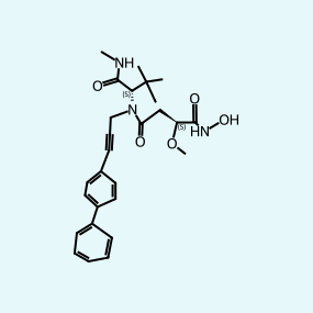 CNC(=O)[C@@H](N(CC#Cc1ccc(-c2ccccc2)cc1)C(=O)C[C@H](OC)C(=O)NO)C(C)(C)C